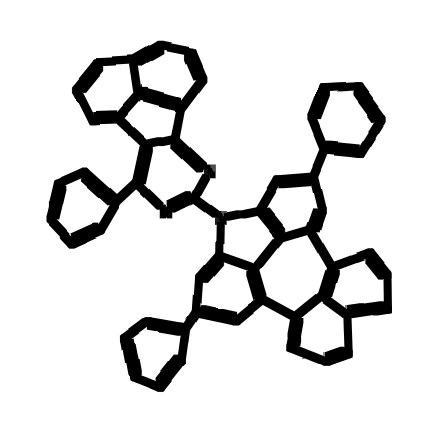 c1ccc(-c2cc3c4c5c(cc(-c6ccccc6)cc5n(-c5nc(-c6ccccc6)c6c(n5)-c5cccc7cccc-6c57)c4c2)-c2cccc4cccc-3c24)cc1